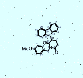 COc1ccc(CN2C(=O)CCC(n3c4ccccc4c4cccnc43)C2=O)cc1